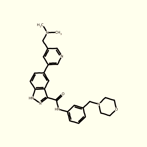 CN(C)Cc1cncc(-c2ccc3[nH]nc(C(=O)Nc4cccc(CN5CCOCC5)c4)c3c2)c1